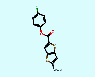 CCCCCc1cc2sc(C(=O)Oc3ccc(F)cc3)cc2s1